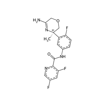 C[C@@]1(c2cc(NC(=O)c3ncc(F)cc3F)ccc2F)COCC(N)=N1